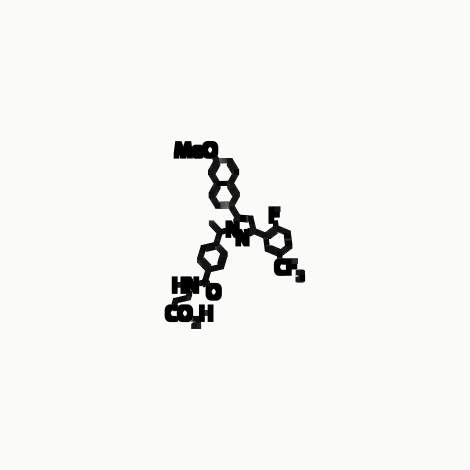 COc1ccc2cc(-c3cc(-c4cc(C(F)(F)F)ccc4F)nn3C(C)c3ccc(C(=O)NCCC(=O)O)cc3)ccc2c1